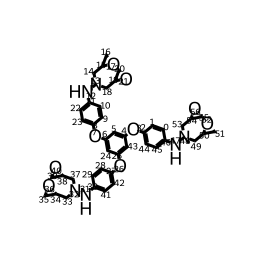 c1cc(Oc2cc(Oc3ccc(NN(CC4CO4)CC4CO4)cc3)cc(Oc3ccc(NN(CC4CO4)CC4CO4)cc3)c2)ccc1NN(CC1CO1)CC1CO1